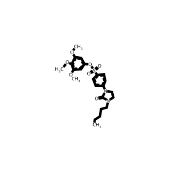 CCCCCN1CCN(c2ccc(S(=O)(=O)Oc3cc(OC)c(OC)c(OC)c3)cc2)C1=O